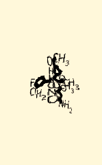 CC(=O)c1ccc2c(c1)[C@H](NC(=O)c1ccc(F)c(Cl)c1)[C@H](OC(=O)[C@@H](N)CC(N)=O)C(C)(C)O2